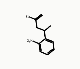 C=C(CC)CC(C)c1ccccc1[N+](=O)[O-]